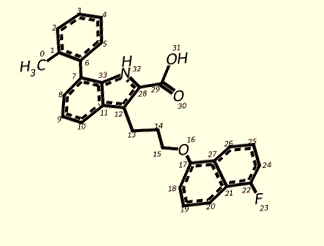 Cc1ccccc1-c1cccc2c(CCCOc3cccc4c(F)cccc34)c(C(=O)O)[nH]c12